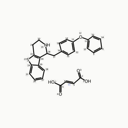 O=C(O)/C=C/C(=O)O.c1ccc(Oc2ccc(CC3NCCc4sc5ccccc5c43)cc2)cc1